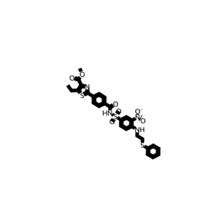 CCc1sc(-c2ccc(C(=O)NS(=O)(=O)c3ccc(NCCSc4ccccc4)c([N+](=O)[O-])c3)cc2)nc1C(=O)OC